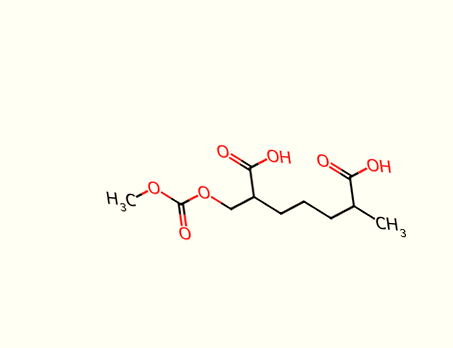 COC(=O)OCC(CCCC(C)C(=O)O)C(=O)O